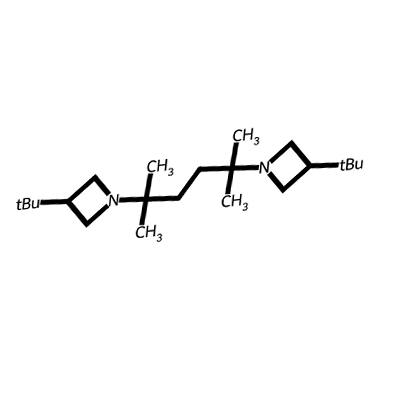 CC(C)(C)C1CN(C(C)(C)CCC(C)(C)N2CC(C(C)(C)C)C2)C1